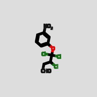 O=CCC(Cl)C(Cl)(Cl)Oc1cccc([N+](=O)[O-])c1